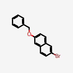 Brc1ccc2cc(OCc3ccccc3)ccc2c1